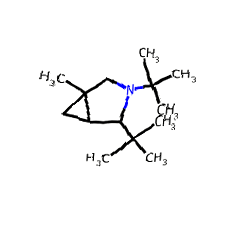 CC(C)(C)C1C2CC2(C)CN1C(C)(C)C